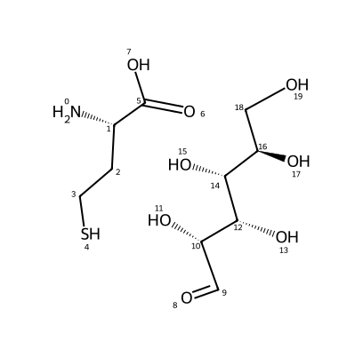 N[C@@H](CCS)C(=O)O.O=C[C@H](O)[C@@H](O)[C@H](O)[C@H](O)CO